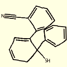 N#Cc1ccccc1C1=CC=CCC1(S)c1ccccc1